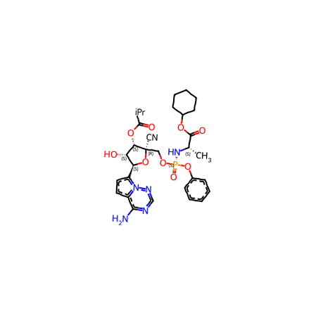 CC(C)C(=O)O[C@H]1[C@@H](O)[C@H](c2ccc3c(N)ncnn23)O[C@]1(C#N)CO[P@@](=O)(N[C@@H](C)C(=O)OC1CCCCC1)Oc1ccccc1